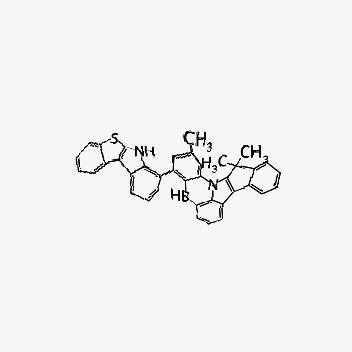 Cc1cc(-c2cccc3c2[nH]c2sc4ccccc4c23)c2c(c1)-n1c3c(c4cccc(c41)B2)-c1ccccc1C3(C)C